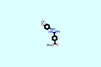 COC(=O)c1ccc(C(=N)NNc2ccc(OC(F)(F)F)cc2)cc1